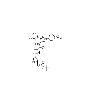 CCOC1CCC(n2cc(NC(=O)c3csc(-c4cnn(OC(=O)OC(C)(C)C)c4)n3)c(-c3nc(F)ccc3F)n2)CC1